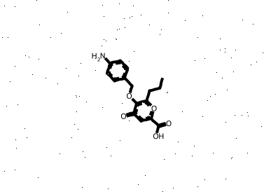 CCCc1oc(C(=O)O)cc(=O)c1OCc1ccc(N)cc1